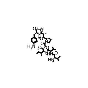 CC[C@H](C)[C@@H]([C@@H](CC(=O)N1CCC[C@H]1[C@H](OC)[C@@H](C)C(=O)N[C@@H](Cc1ccc(N)cc1)C(=O)O)OC)N(C)C(=O)[C@@H](NC(=O)[C@@H](NC)C(C)C)C(C)C